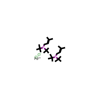 CC(C)=CCP(C(C)(C)C)C(C)(C)C.CC(C)=CCP(C(C)(C)C)C(C)(C)C.[Cl-].[Cl-].[Pd+2]